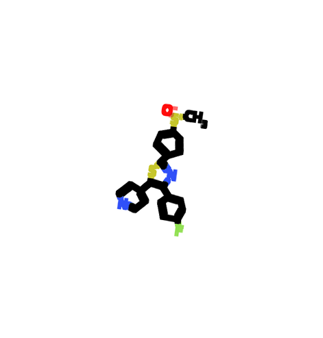 C[S+]([O-])c1ccc(-c2nc(-c3ccc(F)cc3)c(-c3ccncc3)s2)cc1